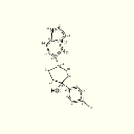 OC1(c2ccc(F)cc2)CCN(c2ccc3nccn3n2)CC1